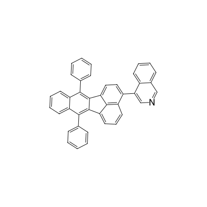 c1ccc(-c2c3c(c(-c4ccccc4)c4ccccc24)-c2ccc(-c4cncc5ccccc45)c4cccc-3c24)cc1